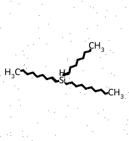 CCCCCCC/C=C/[SiH](/C=C/CCCCCCC)CCCCCCCCCC